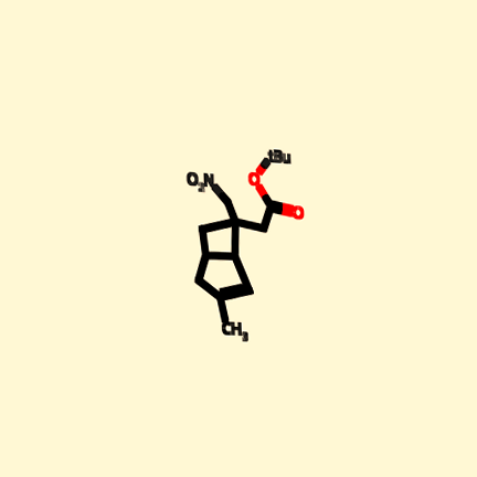 CC1=CC2C(C1)CC2(CC(=O)OC(C)(C)C)C[N+](=O)[O-]